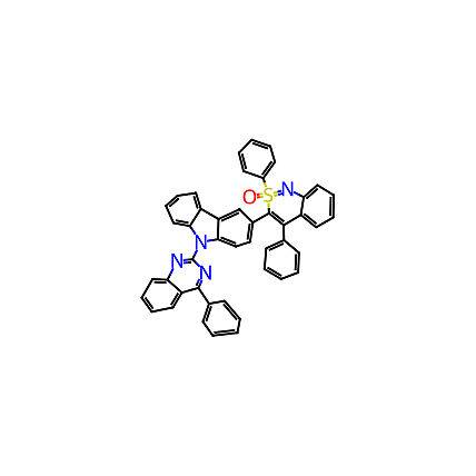 O=S1(c2ccccc2)=Nc2ccccc2C(c2ccccc2)=C1c1ccc2c(c1)c1ccccc1n2-c1nc(-c2ccccc2)c2ccccc2n1